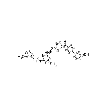 Cc1cc(NCCN2CCOC(C)C2)nc(N/N=C/c2ccc(Nc3ccc(-c4cccc(O)c4)cc3)cn2)n1